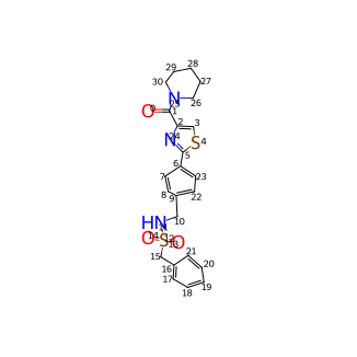 O=C(c1csc(-c2ccc(CNS(=O)(=O)Cc3ccccc3)cc2)n1)N1CCCCC1